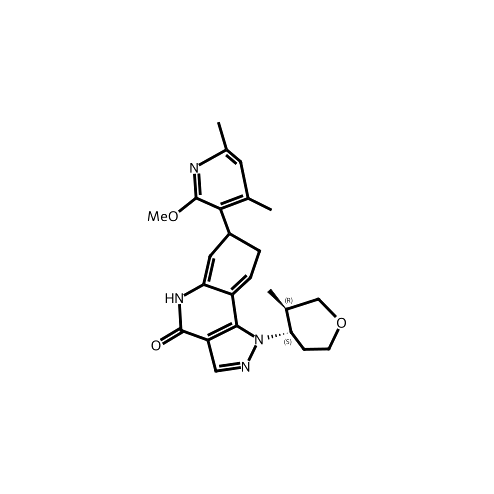 COc1nc(C)cc(C)c1C1C=c2[nH]c(=O)c3cnn([C@H]4CCOC[C@@H]4C)c3c2=CC1